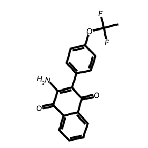 CC(F)(F)Oc1ccc(C2=C(N)C(=O)c3ccccc3C2=O)cc1